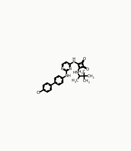 CC(Nc1c(Nc2ccnc(Nc3ccc(-c4ccc(Cl)cc4)cc3)n2)c(=O)c1=O)C(C)(C)C